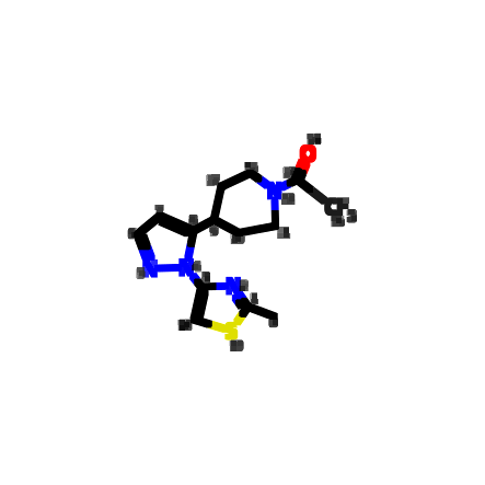 Cc1nc(-n2nccc2C2CCN(C(=O)C(F)(F)F)CC2)cs1